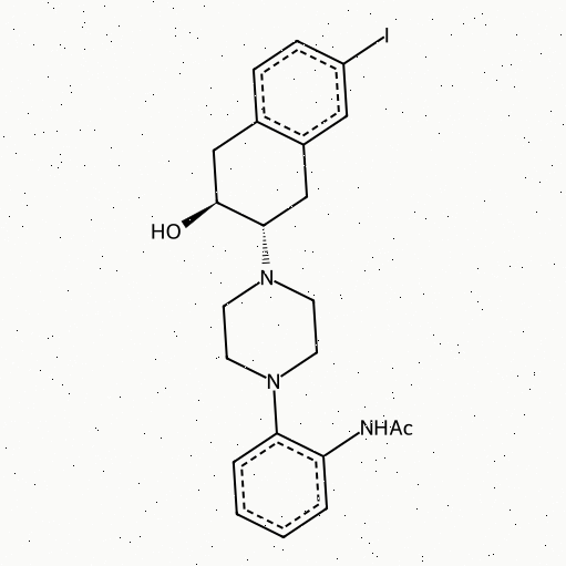 CC(=O)Nc1ccccc1N1CCN([C@H]2Cc3cc(I)ccc3C[C@@H]2O)CC1